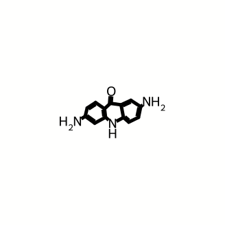 Nc1ccc2c(=O)c3cc(N)ccc3[nH]c2c1